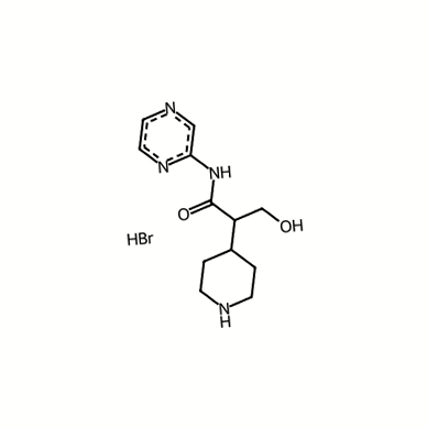 Br.O=C(Nc1cnccn1)C(CO)C1CCNCC1